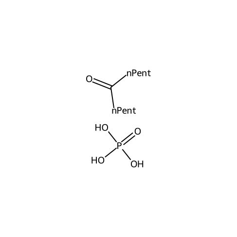 CCCCCC(=O)CCCCC.O=P(O)(O)O